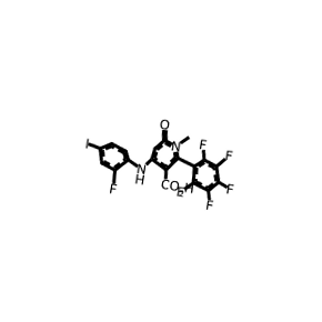 Cn1c(-c2c(F)c(F)c(F)c(F)c2F)c(C(=O)O)c(Nc2ccc(I)cc2F)cc1=O